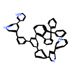 C1=CC(c2cncc(-c3cccc(-c4cc(-c5cccc(-c6cncc(-c7cccnc7)c6)c5)cc(-c5cccc6c5-c5ccccc5C6(c5ccccc5)c5ccccc5)c4)c3)c2)=CNC1